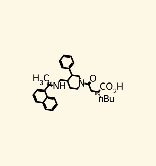 CCCC[C@H](CC(=O)N1CCC(CN[C@H](C)c2cccc3ccccc23)C(c2ccccc2)C1)C(=O)O